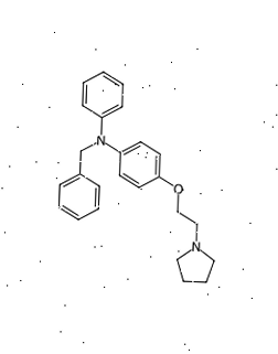 c1ccc(CN(c2ccccc2)c2ccc(OCCN3CCCC3)cc2)cc1